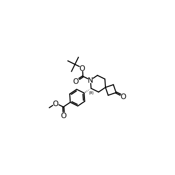 COC(=O)c1ccc([C@H]2CC3(CCN2C(=O)OC(C)(C)C)CC(=O)C3)cc1